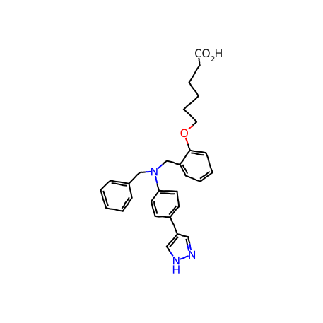 O=C(O)CCCCCOc1ccccc1CN(Cc1ccccc1)c1ccc(-c2cn[nH]c2)cc1